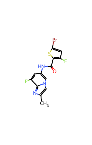 Cc1cn2cc(NC(=O)c3sc(Br)cc3F)cc(F)c2n1